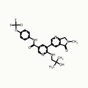 CN1Cc2ncc(-c3cc(C(=O)Nc4ccc(OC(F)(F)Cl)cc4)cnc3NCC(C)(C)O)cc2C1=O